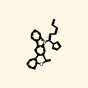 C=C/C=C\C=C(/C1C=CC=C1)n1c2ccccc2c2cc3c(cc21)C(=C)Oc1ccccc1-3